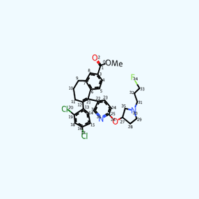 COC(=O)c1ccc2c(c1)CCCC(c1ccc(Cl)cc1Cl)=C2c1ccc(OC2CCN(CCCF)C2)nc1